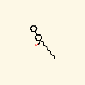 CCCCCCCCC1(C=O)C=CC(c2ccccc2)=CC1